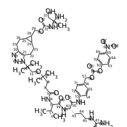 CC(C)C(NC(=O)CCC(C)(C)OCC(C)(C)n1nnc2c1CCC1C(CC2)C1COC(=O)NC(C)(N)CO)C(=O)N[C@@H](CCCNC(N)=O)C(=O)Nc1ccc(COC(=O)Oc2ccc([N+](=O)[O-])cc2)cc1